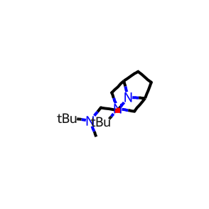 CN(CCN1C2CCC1CN(C(C)(C)C)C2)C(C)(C)C